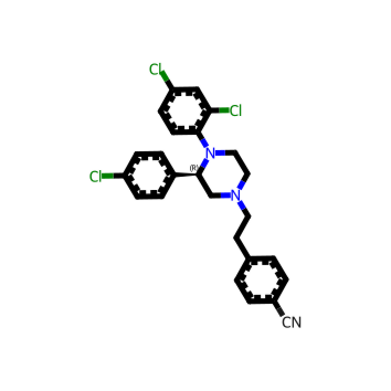 N#Cc1ccc(CCN2CCN(c3ccc(Cl)cc3Cl)[C@H](c3ccc(Cl)cc3)C2)cc1